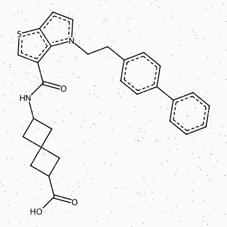 O=C(NC1CC2(C1)CC(C(=O)O)C2)c1csc2ccn(CCc3ccc(-c4ccccc4)cc3)c12